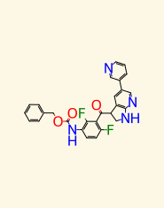 O=C(Nc1ccc(F)c(C(=O)C2CNc3ncc(-c4cccnc4)cc32)c1F)OCc1ccccc1